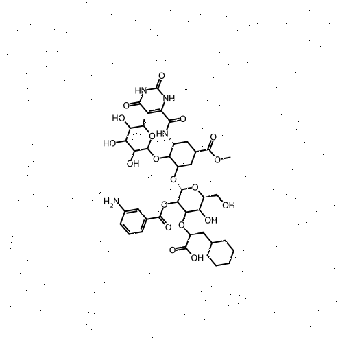 COC(=O)C1CC(O[C@@H]2O[C@@H](CO)C(O)C(O[C@@H](CC3CCCCC3)C(=O)O)C2OC(=O)c2cccc(N)c2)C(OC2OC(C)C(O)C(O)C2O)[C@H](NC(=O)c2cc(=O)[nH]c(=O)[nH]2)C1